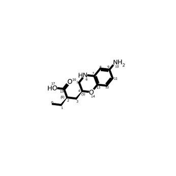 CC[C@H](C[C@H]1CNc2cc(N)ccc2O1)C(=O)O